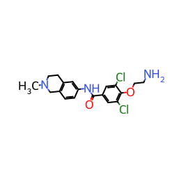 CN1CCc2cc(NC(=O)c3cc(Cl)c(OCCN)c(Cl)c3)ccc2C1